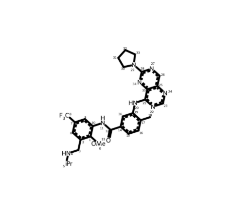 COc1c(CNC(C)C)cc(C(F)(F)F)cc1NC(=O)c1ccc(C)c(Nc2ncnc3cnc(N4CCCC4)nc23)c1